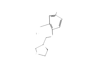 CC(C)[C@H](Oc1ccc(Cl)cc1Cl)[C@H]1CCNC1